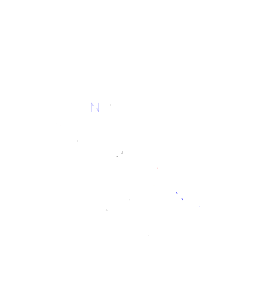 CC1COC(c2cccc(S(N)(=O)=O)c2)=N1